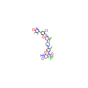 COc1cc(-c2cn(C)c(=O)c(C)c2C)cc(Cl)c1CN1CCC(C2CCN(c3ccc(N(C(=O)C(F)(F)F)C4CCC(=O)NC4=O)cc3F)CC2)C(F)(F)C1